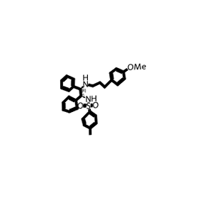 COc1ccc(CCCN[C@H](c2ccccc2)[C@H](NS(=O)(=O)c2ccc(C)cc2)c2ccccc2)cc1